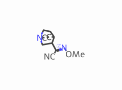 CO/N=C(\C#N)C1CN2CCC1CC2